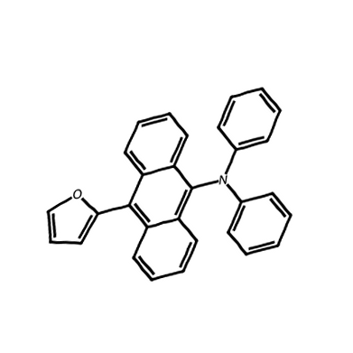 c1ccc(N(c2ccccc2)c2c3ccccc3c(-c3ccco3)c3ccccc23)cc1